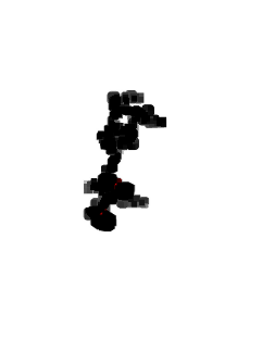 COc1cccc(OC)c1-c1cc(C2=NC3(C(=O)O2)C2CC4CC(C2)CC3C4)nn1-c1ccc(SCCCN(C)CCCN(C)C(=O)CN2CCN(CC(=O)OC(C)(C)C)CCN(CC(=O)OC(C)(C)C)CCN(CC(=O)OC(C)(C)C)CC2)cc1C(C)C